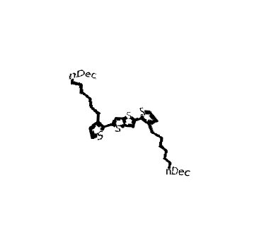 CCCCCCCCCCCCCCCCc1ccsc1-c1cc2sc(-c3sccc3CCCCCCCCCCCCCCCC)cc2s1